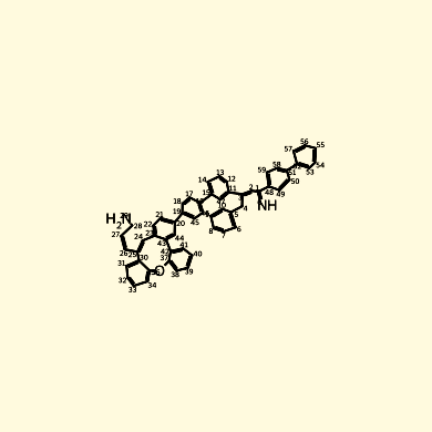 N=C(/C=C(\Cc1ccccc1)c1cccc(-c2ccc(-c3ccc4cc(/C=C\CN)c5ccccc5oc5ccccc5c4c3)cc2)c1)c1ccc(-c2ccccc2)cc1